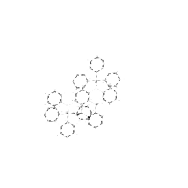 O=C1c2ccccc2C(=O)c2c(N(c3ccccc3)C(c3ccccc3)(c3ccccc3)c3ccccc3)ccc(N(c3ccccc3)C(c3ccccc3)(c3ccccc3)c3ccccc3)c21